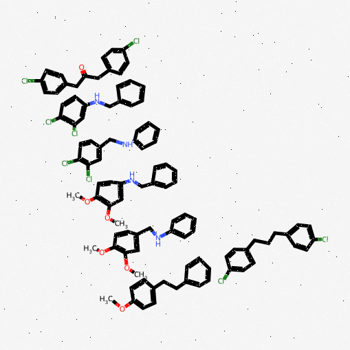 COc1ccc(CCc2ccccc2)cc1.COc1ccc(CNc2ccccc2)cc1OC.COc1ccc(NCc2ccccc2)cc1OC.Clc1ccc(CCCc2ccc(Cl)cc2)cc1.Clc1ccc(CNc2ccccc2)cc1Cl.Clc1ccc(NCc2ccccc2)cc1Cl.O=C(Cc1ccc(Cl)cc1)Cc1ccc(Cl)cc1